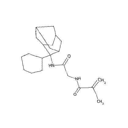 C=C(C)C(=O)NCC(=O)NC1(C2CCCCC2)C2CC3CC(C2)CC1C3